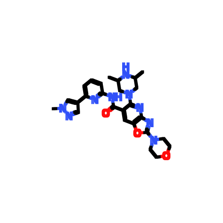 CC1CN(c2nc3nc(N4CCOCC4)oc3cc2C(=O)Nc2cccc(-c3cnn(C)c3)n2)CC(C)N1